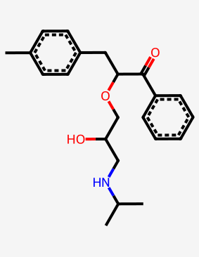 Cc1ccc(CC(OCC(O)CNC(C)C)C(=O)c2ccccc2)cc1